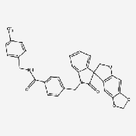 O=C(NCc1ccc(C(F)(F)F)cc1)c1ccc(CN2C(=O)C3(COc4cc5c(cc43)OCO5)c3ccccc32)cc1